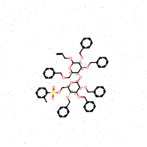 C=CCOC1O[C@H](COCc2ccccc2)[C@@H](O[C@@H]2O[C@H](COS(=O)(=O)c3ccccc3C)[C@@H](OCc3ccccc3)[C@H](OCc3ccccc3)[C@H]2OCc2ccccc2)[C@H](OCc2ccccc2)[C@H]1OCc1ccccc1